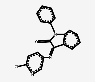 O=C1C(=Nc2ccc(Cl)nc2)c2ccccc2N1c1ccccc1